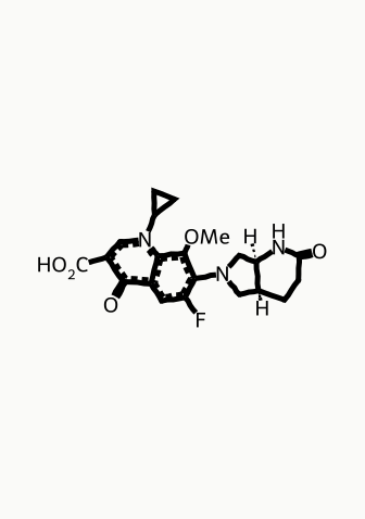 COc1c(N2C[C@@H]3CCC(=O)N[C@@H]3C2)c(F)cc2c(=O)c(C(=O)O)cn(C3CC3)c12